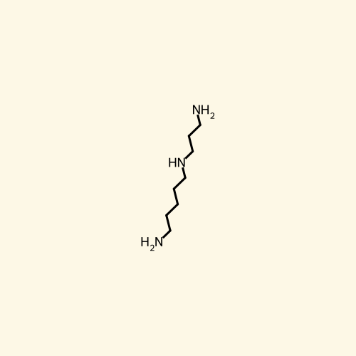 NCCCCCNCCCN